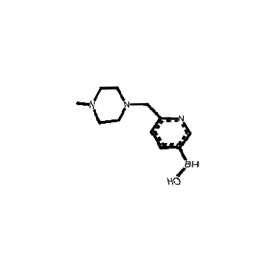 CN1CCN(Cc2ccc(BO)cn2)CC1